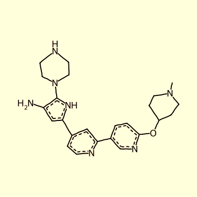 CN1CCC(Oc2ccc(-c3cc(-c4cc(N)c(N5CCNCC5)[nH]4)ccn3)cn2)CC1